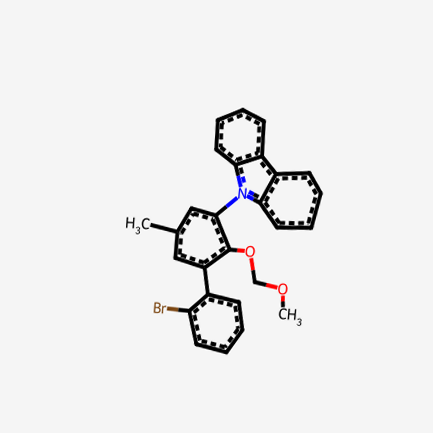 COCOc1c(-c2ccccc2Br)cc(C)cc1-n1c2ccccc2c2ccccc21